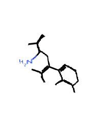 C=C(C)C(N)CC(C1=CCCC(C)=C1C)=C(C)C